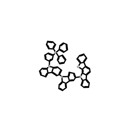 c1ccc([Si](c2ccccc2)(c2ccccc2)c2cccc(-n3c4ccccc4c4cc(-n5c6ccccc6c6cc(-n7c8ccccc8c8ccc9c%10ccccc%10oc9c87)ccc65)ccc43)c2)cc1